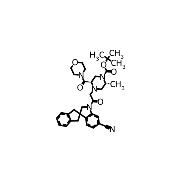 C[C@@H]1CN(CC(=O)N2CC3(Cc4ccccc4C3)c3ccc(C#N)cc32)[C@@H](C(=O)N2CCOCC2)CN1C(=O)OC(C)(C)C